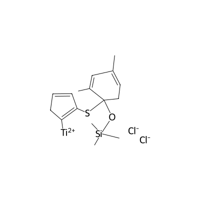 CC1=CCC(O[Si](C)(C)C)(SC2=[C]([Ti+2])CC=C2)C(C)=C1.[Cl-].[Cl-]